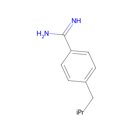 CC(C)Cc1ccc(C(=N)N)cc1